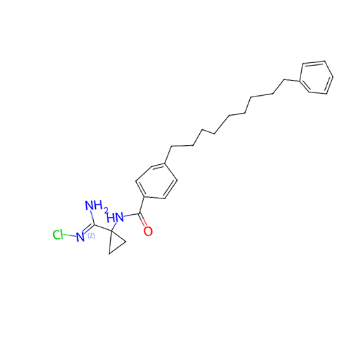 N/C(=N\Cl)C1(NC(=O)c2ccc(CCCCCCCCCc3ccccc3)cc2)CC1